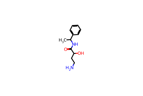 CC(NC(=O)C(O)CCN)c1ccccc1